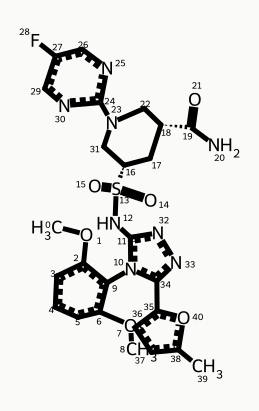 COc1cccc(OC)c1-n1c(NS(=O)(=O)[C@H]2C[C@@H](C(N)=O)CN(c3ncc(F)cn3)C2)nnc1-c1ccc(C)o1